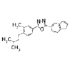 Cc1cc(-c2nnc(-c3ccc4c(c3)C=CC4)o2)ccc1CCC(C)C